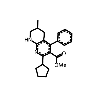 COC(=O)c1c(C2CCCC2)nc2c(c1-c1ccccc1)CC(C)CN2